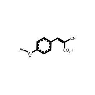 CC(=O)[AsH]c1ccc(C=C(C#N)C(=O)O)cc1